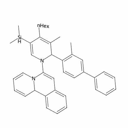 CCCCCCC1=C(C)C(c2ccc(-c3ccccc3)cc2C)N(C2=Cc3ccccc3C3C=CC=CN23)C=C1[SiH](C)C